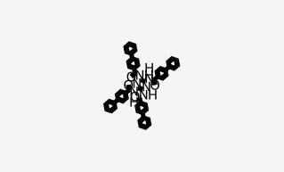 O=C(Nc1nc(NC(=O)c2ccc(-c3ccccc3)cc2)c(NC(=O)c2ccc(-c3ccccc3)cc2)nc1NC(=O)c1ccc(-c2ccccc2)cc1)c1ccc(-c2ccccc2)cc1